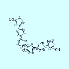 N#Cc1ccnc(-c2ccc(-c3ccc4oc5ccc(-c6ccc(-c7cc(C#N)ccn7)nc6)cc5c4c3)cn2)c1